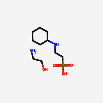 NCCO.O=S(=O)(O)CCNC1CCCCC1